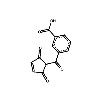 O=C(O)c1cccc(C(=O)N2C(=O)C=CC2=O)c1